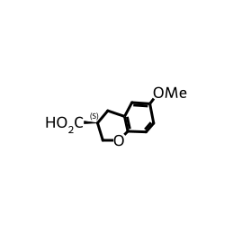 COc1ccc2c(c1)C[C@H](C(=O)O)CO2